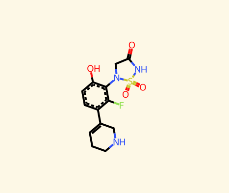 O=C1CN(c2c(O)ccc(C3=CCCNC3)c2F)S(=O)(=O)N1